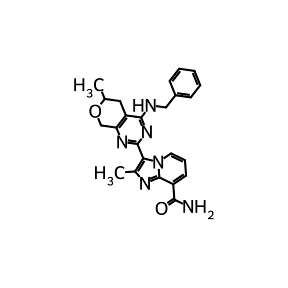 Cc1nc2c(C(N)=O)cccn2c1-c1nc2c(c(NCc3ccccc3)n1)CC(C)OC2